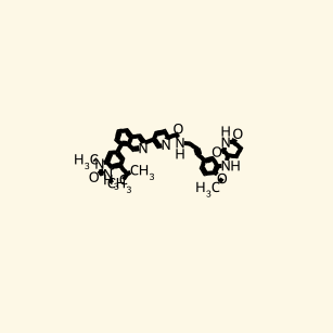 COc1ccc(C#CCNC(=O)c2ccc(-c3cc4cccc(-c5cc(C(C)C)c6c(c5)n(C)c(=O)n6C)c4cn3)cn2)cc1NC1CCC(=O)NC1=O